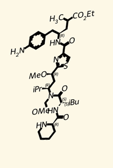 CCOC(=O)C(C)C[C@H](Cc1ccc(N)cc1)NC(=O)c1csc([C@@H](C[C@H](C(C)C)N(COC)C(=O)[C@@H](NC(=O)[C@H]2CCCCN2)[C@@H](C)CC)OC)n1